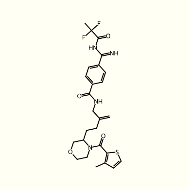 C=C(CCC1COCCN1C(=O)c1sccc1C)CNC(=O)c1ccc(C(=N)NC(=O)C(C)(F)F)cc1